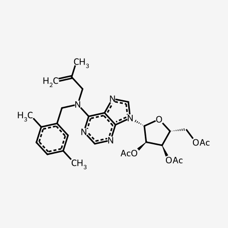 C=C(C)CN(Cc1cc(C)ccc1C)c1ncnc2c1ncn2[C@@H]1O[C@H](COC(C)=O)[C@@H](OC(C)=O)[C@H]1OC(C)=O